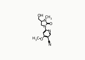 COc1cc(N2CC(CO)N(C)C2=O)ncc1C#N